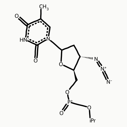 Cc1cn(C2C[C@H](N=[N+]=[N-])[C@@H](CO[P+](=O)OC(C)C)O2)c(=O)[nH]c1=O